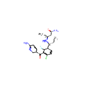 CC[C@@H](N[C@@H](C)CC(N)=O)C1C=CC(Cl)=C(C(=O)C2C=CC(N)=NC2)C1F